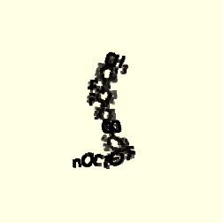 CCCCCCCCOc1ccc(C(=O)OC2CCC(c3ccc(-c4ccc(C)cc4)c(F)c3F)CC2)cc1F